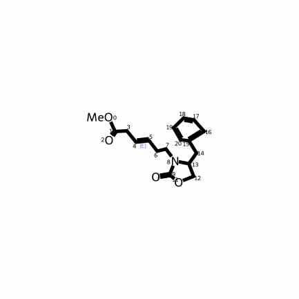 COC(=O)C/C=C/CCN1C(=O)OCC1Cc1ccccc1